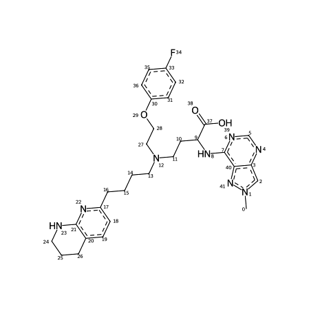 Cn1cc2ncnc(NC(CCN(CCCCc3ccc4c(n3)NCCC4)CCOc3ccc(F)cc3)C(=O)O)c2n1